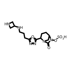 O=C1N2CC(CCC2c2nnc(CCCNC3CNC3)o2)N1OS(=O)(=O)O